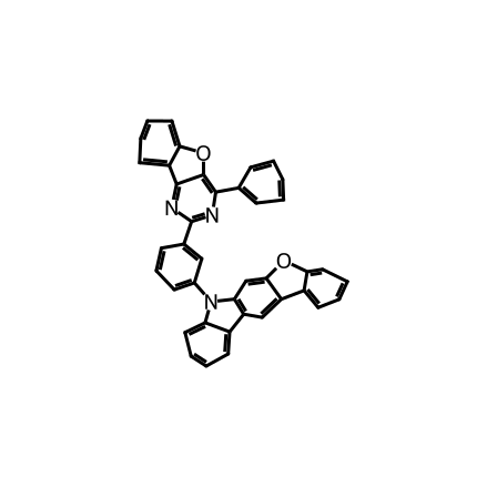 c1ccc(-c2nc(-c3cccc(-n4c5ccccc5c5cc6c(cc54)oc4ccccc46)c3)nc3c2oc2ccccc23)cc1